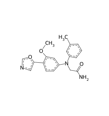 COc1cc(N(CC(N)=O)c2cccc(C)c2)ccc1-c1cnco1